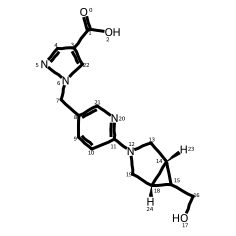 O=C(O)c1cnn(Cc2ccc(N3C[C@@H]4C(CO)[C@@H]4C3)nc2)c1